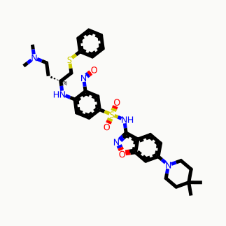 CN(C)CC[C@H](CSc1ccccc1)Nc1ccc(S(=O)(=O)Nc2noc3cc(N4CCC(C)(C)CC4)ccc23)cc1N=O